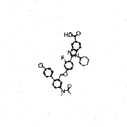 CC(=O)N(C)c1ccc(-c2ccc(Cl)cc2)c(COc2ccc(-c3nc4cc(C(=O)O)ccc4n3C3CCCCC3)c(F)c2)c1